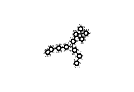 c1ccc(-c2cccc(-c3ccc(N(c4ccc(-c5ccc(-c6ccc7ccccc7c6)cc5)cc4)c4ccc(-c5cccc6c5-c5ccccc5C6(c5ccccc5)c5ccccc5)cc4)cc3)c2)cc1